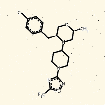 C[C@H]1CN(C2CCN(c3noc(C(F)(F)F)n3)CC2)[C@@H](Cc2ccc(Cl)cc2)CO1